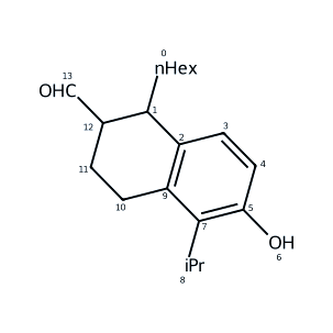 CCCCCCC1c2ccc(O)c(C(C)C)c2CCC1C=O